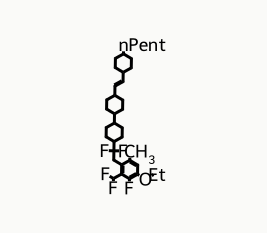 CCCCCC1CCC(/C=C/C2CCC(C3CCC(C(F)(F)Cc4c(C)cc(OCC)c(F)c4C(F)F)CC3)CC2)CC1